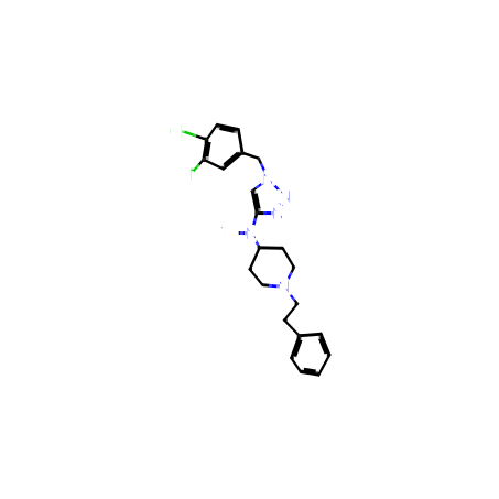 CC(=O)N(c1cn(Cc2ccc(Cl)c(Cl)c2)nn1)C1CCN(CCc2ccccc2)CC1